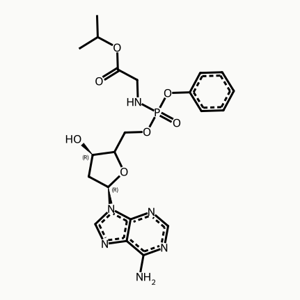 CC(C)OC(=O)CNP(=O)(OCC1O[C@@H](n2cnc3c(N)ncnc32)C[C@H]1O)Oc1ccccc1